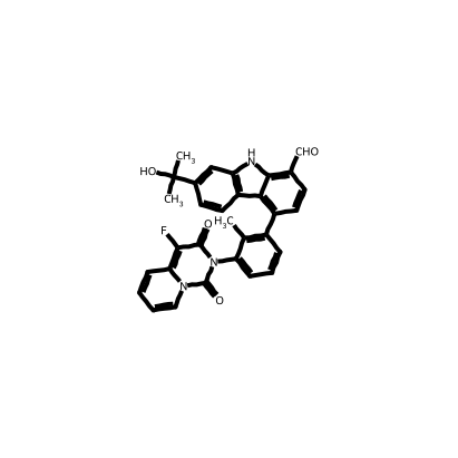 Cc1c(-c2ccc(C=O)c3[nH]c4cc(C(C)(C)O)ccc4c23)cccc1-n1c(=O)c(F)c2ccccn2c1=O